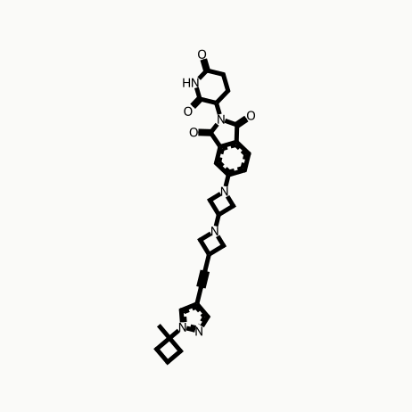 CC1(n2cc(C#CC3CN(C4CN(c5ccc6c(c5)C(=O)N(C5CCC(=O)NC5=O)C6=O)C4)C3)cn2)CCC1